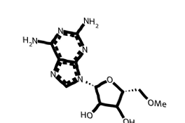 COC[C@H]1O[C@@H](n2cnc3c(N)nc(N)nc32)C(O)C1O